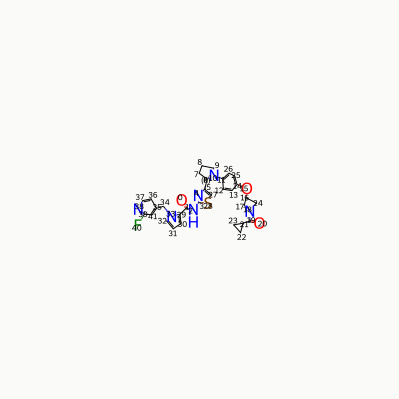 O=C(Nc1nc([C@H]2CCCN2c2ccc(OC3CN(C(=O)C4CC4)C3)cc2)cs1)c1cccn1Cc1ccnc(F)c1